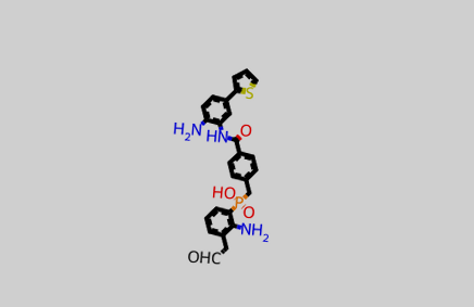 Nc1ccc(-c2cccs2)cc1NC(=O)c1ccc(CP(=O)(O)c2cccc(CC=O)c2N)cc1